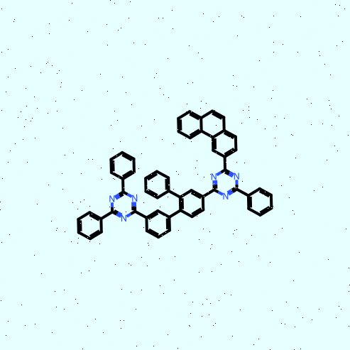 c1ccc(-c2nc(-c3ccccc3)nc(-c3cccc(-c4ccc(-c5nc(-c6ccccc6)nc(-c6ccc7ccc8ccccc8c7c6)n5)cc4-c4ccccc4)c3)n2)cc1